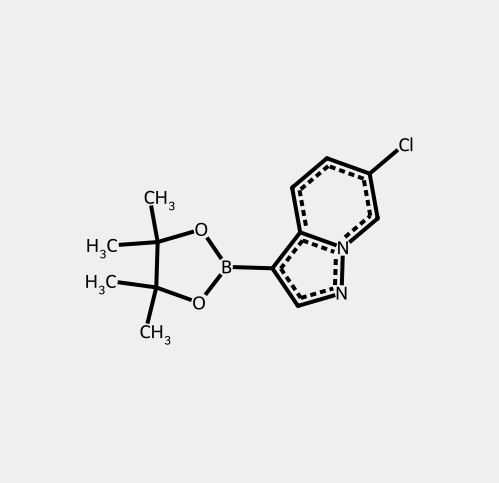 CC1(C)OB(c2cnn3cc(Cl)ccc23)OC1(C)C